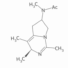 CC(=O)N(C)C1CC2=C(C)[C@H](C)N=C(C)N2C1